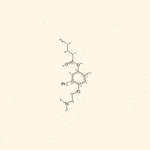 Cc1cc(OCCN(C)C)c(C(C)C)cc1OC(=O)CCCI